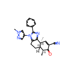 C[C@@H]1C(=O)C(C#N)=C[C@]2(C)c3nc(-c4ccccc4)n(-c4cnn(C)c4)c3CC[C@@H]12